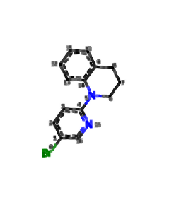 Brc1ccc(N2CCCc3ccccc32)nc1